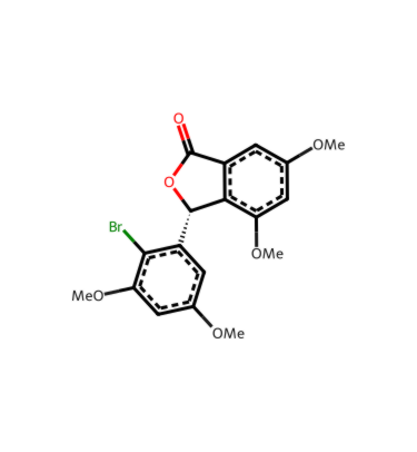 COc1cc(OC)c2c(c1)C(=O)O[C@H]2c1cc(OC)cc(OC)c1Br